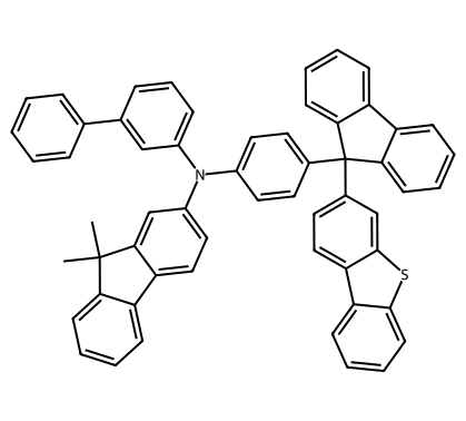 CC1(C)c2ccccc2-c2ccc(N(c3ccc(C4(c5ccc6c(c5)sc5ccccc56)c5ccccc5-c5ccccc54)cc3)c3cccc(-c4ccccc4)c3)cc21